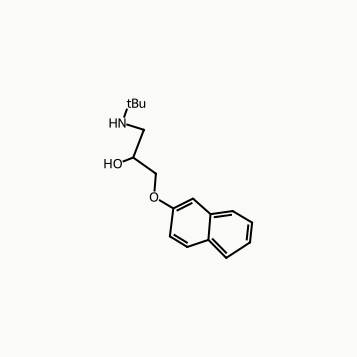 CC(C)(C)NCC(O)COc1ccc2ccccc2c1